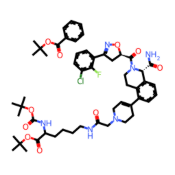 CC(C)(C)OC(=O)NC(CCCCNC(=O)CN1CC=C(c2cccc3c2CCN(C(=O)[C@H]2CC(c4cccc(Cl)c4F)=NO2)[C@@H]3C(N)=O)CC1)C(=O)OC(C)(C)C.CC(C)(C)OC(=O)c1ccccc1